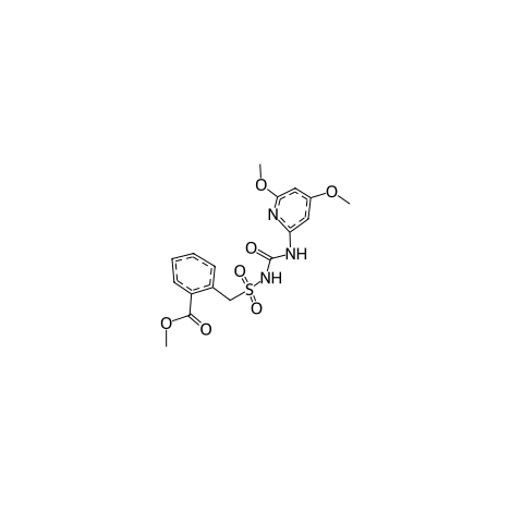 COC(=O)c1ccccc1CS(=O)(=O)NC(=O)Nc1cc(OC)cc(OC)n1